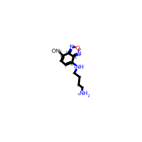 NCCCCNc1ccc(N=O)c2nonc12